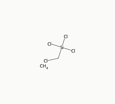 C.ClC[Si](Cl)(Cl)Cl